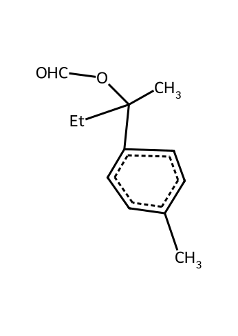 CCC(C)(OC=O)c1ccc(C)cc1